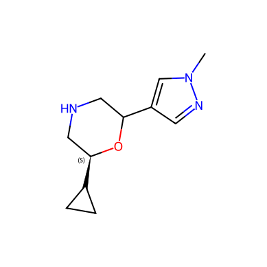 Cn1cc(C2CNC[C@H](C3CC3)O2)cn1